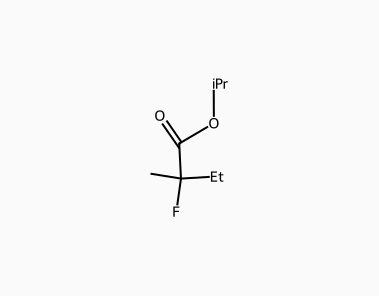 CCC(C)(F)C(=O)OC(C)C